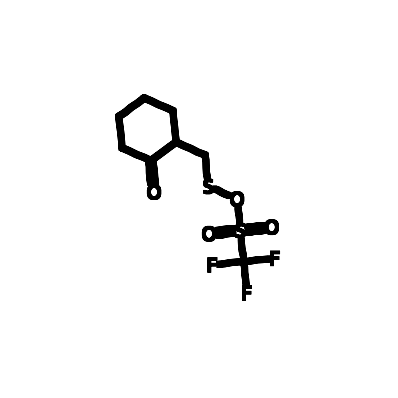 O=C1CCCCC1CSOS(=O)(=O)C(F)(F)F